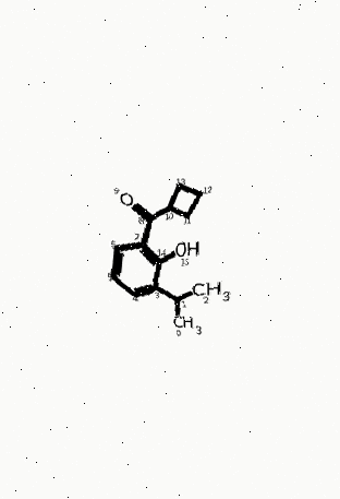 CC(C)c1cccc(C(=O)C2CCC2)c1O